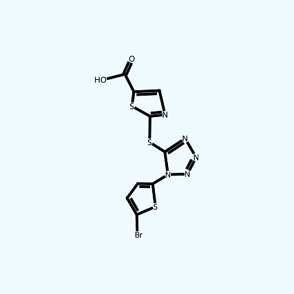 O=C(O)c1cnc(Sc2nnnn2-c2ccc(Br)s2)s1